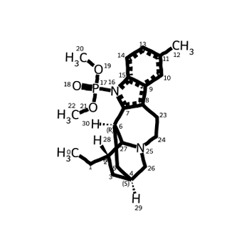 CC[C@H]1C[C@H]2C[C@H]3c4c(c5cc(C)ccc5n4P(=O)(OC)OC)CCN(C2)C13